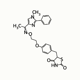 CC(=NOCCOc1ccc(CC2SC(=O)NC2=O)cc1)c1cn(C)c(-c2ccccc2)n1